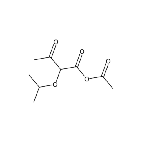 CC(=O)OC(=O)C(OC(C)C)C(C)=O